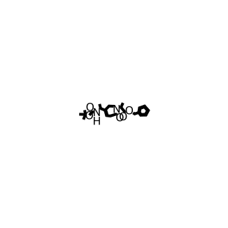 CC(NC(=O)OC(C)(C)C)C1=CCC(=O)N(C(C)C(=O)OCc2ccccc2)CC1